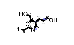 O=C(CO)C(/C=N\CCF)=C/C=C/O